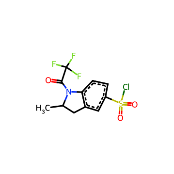 CC1Cc2cc(S(=O)(=O)Cl)ccc2N1C(=O)C(F)(F)F